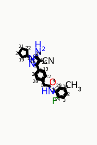 Cc1ccc(F)c(NC(=O)Cc2ccc(-c3nn(C4CCCC4)c(N)c3C#N)cc2)c1